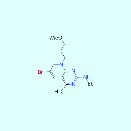 CCNc1nc(C)c2c(n1)N(CCCOC)CC(Br)=C2